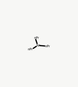 CCC[N+](CCC)CCC